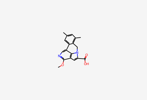 COc1ncc2c3c1cc(C(=O)O)n3Cc1c(C)cc(C)cc1-2